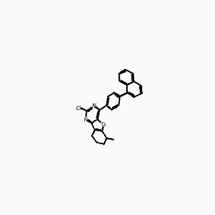 CC1CCCc2c1oc1c(-c3ccc(-c4cccc5ccccc45)cc3)nc(Cl)nc21